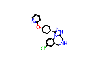 Clc1ccc2c(c1)CNCc1nnc([C@H]3CC[C@H](Oc4ccccn4)CC3)n1-2